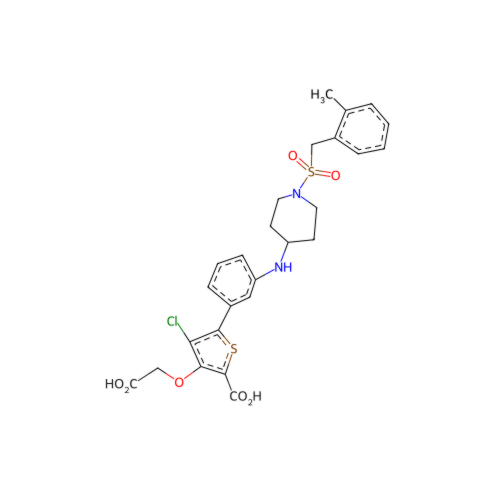 Cc1ccccc1CS(=O)(=O)N1CCC(Nc2cccc(-c3sc(C(=O)O)c(OCC(=O)O)c3Cl)c2)CC1